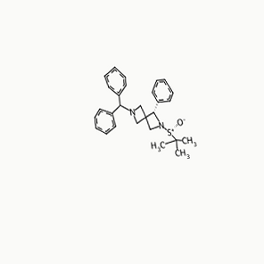 CC(C)(C)[S@@+]([O-])N1CC2(CN(C(c3ccccc3)c3ccccc3)C2)[C@@H]1c1ccccc1